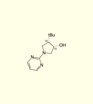 CC(C)(C)[C@H]1CN(c2ncccn2)C[C@H]1O